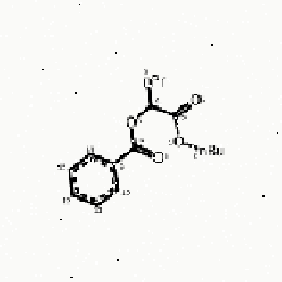 CCCCOC(=O)C(CCC)OC(=O)c1ccccc1